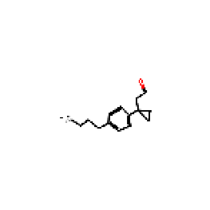 CCCCc1ccc(C2(CC=O)CC2)cc1